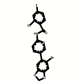 O=C(Nc1ccc(-c2cc3c(cc2Br)OCO3)cn1)c1ccc(F)cc1Cl